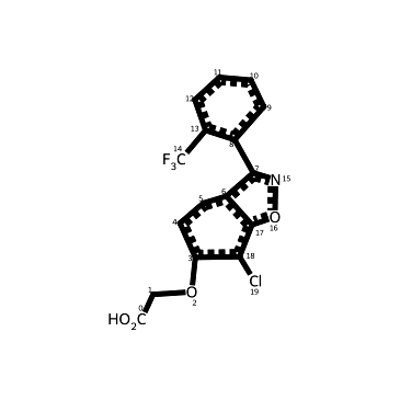 O=C(O)COc1ccc2c(-c3ccccc3C(F)(F)F)noc2c1Cl